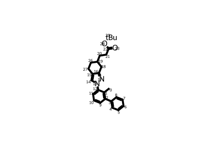 Cc1c(-c2ccccc2)cccc1-n1cc2c(n1)CC(CCC(=O)OC(C)(C)C)CC2